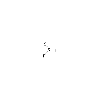 FS(F)=S